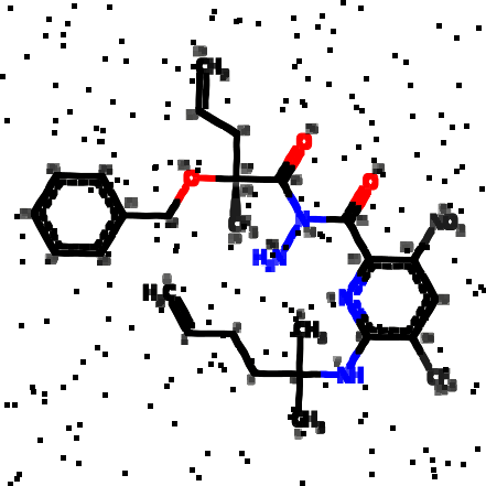 C=CCCC(C)(C)Nc1nc(C(=O)N(N)C(=O)[C@@](CC=C)(OCc2ccccc2)C(F)(F)F)c([N+](=O)[O-])cc1C(F)(F)F